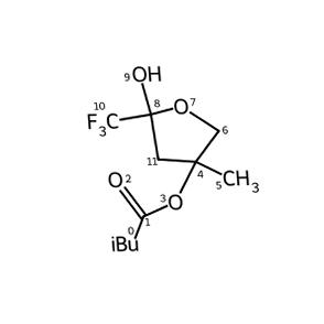 CCC(C)C(=O)OC1(C)COC(O)(C(F)(F)F)C1